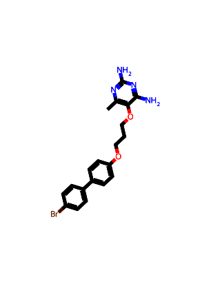 Cc1nc(N)nc(N)c1OCCCOc1ccc(-c2ccc(Br)cc2)cc1